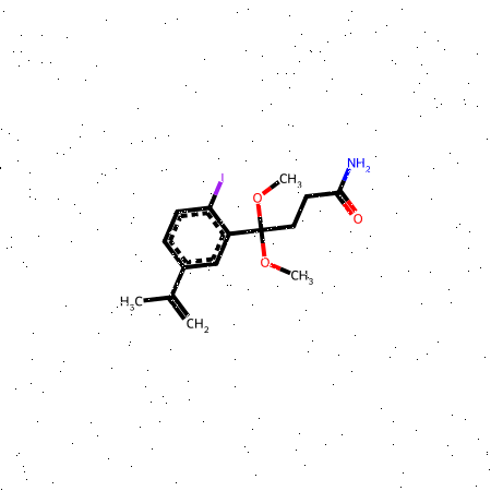 C=C(C)c1ccc(I)c(C(CCC(N)=O)(OC)OC)c1